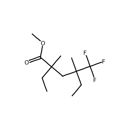 CCC(C)(CC(C)(CC)C(F)(F)F)C(=O)OC